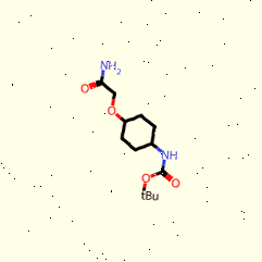 CC(C)(C)OC(=O)NC1CCC(OCC(N)=O)CC1